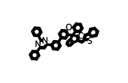 c1ccc(-c2cc(-c3cccc(-c4ccc5c(c4)C4(c6ccccc6O5)c5ccccc5-c5cc6sc7ccccc7c6cc54)c3)nc(-c3ccccc3)n2)cc1